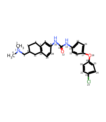 CN(C)CC1CCc2cc(NC(=O)Nc3ccc(Oc4ccc(Cl)cc4)cc3)ccc2C1